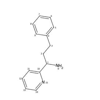 NC(CCc1ccccc1)c1ccccn1